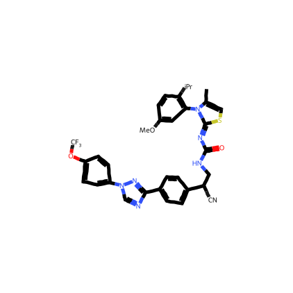 COc1ccc(C(C)C)c(-n2c(C)cs/c2=N\C(=O)NCC(C#N)c2ccc(-c3ncn(-c4ccc(OC(F)(F)F)cc4)n3)cc2)c1